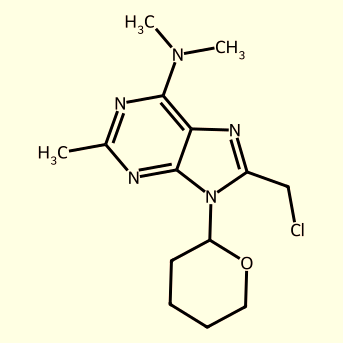 Cc1nc(N(C)C)c2nc(CCl)n(C3CCCCO3)c2n1